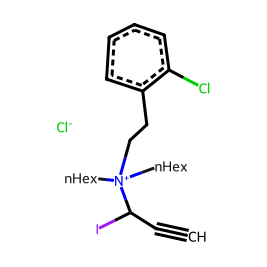 C#CC(I)[N+](CCCCCC)(CCCCCC)CCc1ccccc1Cl.[Cl-]